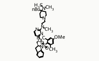 CCCCC1(N(C)C)CCN(CCN(C)c2nccc(OC[C@@H]3Cc4ccccc4N3S(=O)(=O)c3c(C)cc(OC)cc3C)n2)CC1